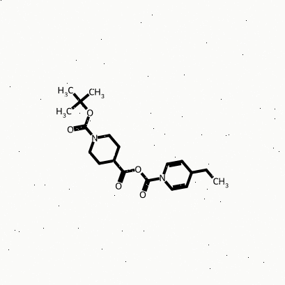 CCC1C=CN(C(=O)OC(=O)C2CCN(C(=O)OC(C)(C)C)CC2)C=C1